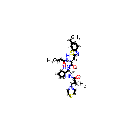 C=C(CN1CCSCC1)C(=O)NC[C@@H](NC(=O)[C@H](Cc1nc2ccc(CC)cc2s1)NC(=O)CCC)C1CCCC1